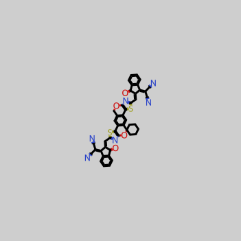 N#CC(C#N)=C1/C(=C/c2nc3c(s2)-c2cc4c(cc2CO3)-c2sc(/C=C3\C(=O)c5ccccc5C3=C(C#N)C#N)nc2OC42CCCCC2)C(=O)c2ccccc21